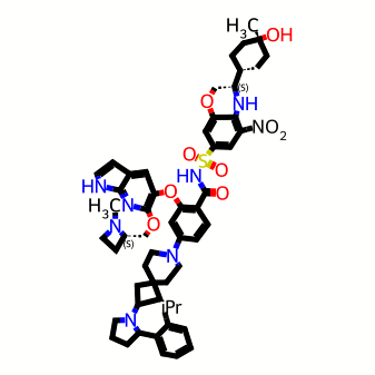 CC(C)c1ccccc1C1CCCN1C1CC2(CCN(c3ccc(C(=O)NS(=O)(=O)c4cc5c(c([N+](=O)[O-])c4)N[C@@H]([C@H]4CC[C@](C)(O)CC4)CO5)c(Oc4cc5cc[nH]c5nc4OC[C@@H]4CCN4C)c3)CC2)C1